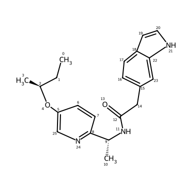 CC[C@H](C)Oc1ccc([C@@H](C)NC(=O)Cc2ccc3cc[nH]c3c2)nc1